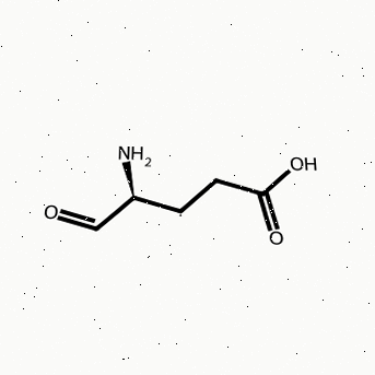 N[C@@H]([CH]CC(=O)O)C=O